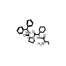 CC[C@H](N)C(=O)N[C@H](C(=O)N1CCC[C@H]1C(=O)NC(c1ccccc1)c1ccccc1)C1CCCCC1